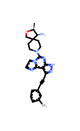 C[C@@H]1OCC2(CCN(c3nc4[nH]nc(C#Cc5cccc(C(F)(F)F)c5)c4c4nccn34)CC2)[C@@H]1N